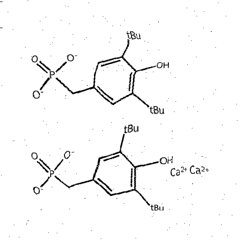 CC(C)(C)c1cc(CP(=O)([O-])[O-])cc(C(C)(C)C)c1O.CC(C)(C)c1cc(CP(=O)([O-])[O-])cc(C(C)(C)C)c1O.[Ca+2].[Ca+2]